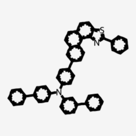 c1ccc(-c2ccc(N(c3ccc(-c4ccc5c(ccc6ccc7sc(-c8ccccc8)nc7c65)c4)cc3)c3cccc(-c4ccccc4)c3)cc2)cc1